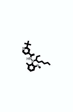 C=Nc1cccc(C)c1N(NC(=C)c1ccnc(C(C)(C)C)c1)C(CC)CCCCC